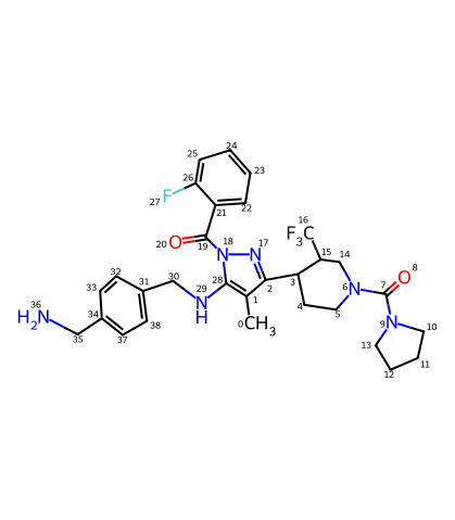 Cc1c(C2CCN(C(=O)N3CCCC3)CC2C(F)(F)F)nn(C(=O)c2ccccc2F)c1NCc1ccc(CN)cc1